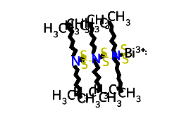 CC(C)CCCCCCN(CCCCCCC(C)C)C(=S)[S-].CC(C)CCCCCCN(CCCCCCC(C)C)C(=S)[S-].CC(C)CCCCCCN(CCCCCCC(C)C)C(=S)[S-].[Bi+3]